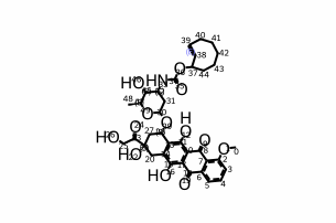 COc1cccc2c1C(=O)c1c(O)c3c(c(O)c1C2=O)C[C@@](O)(C(=O)CO)C[C@@H]3OC1C[C@H](NC(=O)OC2/C=C/CCCCC2)[C@H](O)[C@H](C)O1